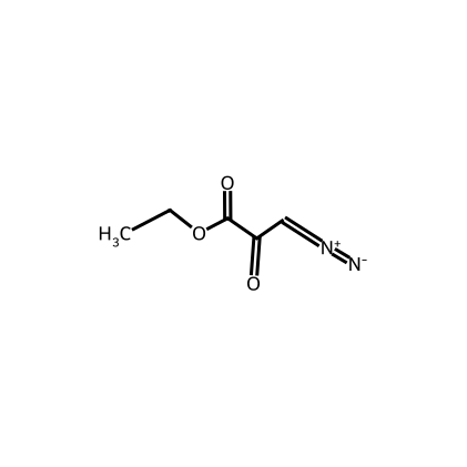 CCOC(=O)C(=O)C=[N+]=[N-]